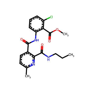 CCCNC(=O)c1nc(C)ccc1C(=O)Nc1cccc(Cl)c1C(=O)OC